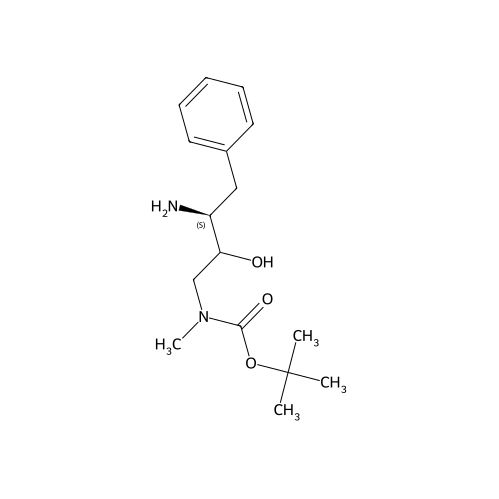 CN(CC(O)[C@@H](N)Cc1ccccc1)C(=O)OC(C)(C)C